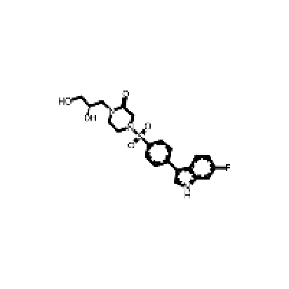 O=C1CN(S(=O)(=O)c2ccc(-c3c[nH]c4cc(F)ccc34)cc2)CCN1C[C@@H](O)CO